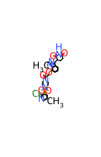 Cc1cnc(Cl)c(S(=O)(=O)N2CCN(C(=O)COc3cccc4c(C5CCC(=O)NC5=O)nn(C)c34)CC2)c1